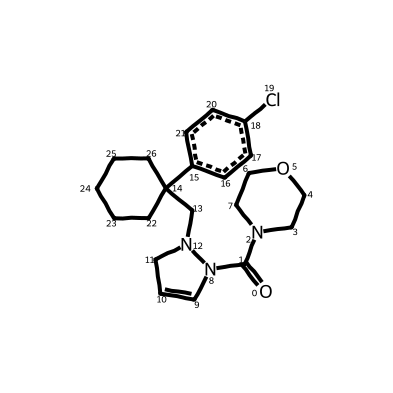 O=C(N1CCOCC1)N1C=CCN1CC1(c2ccc(Cl)cc2)CCCCC1